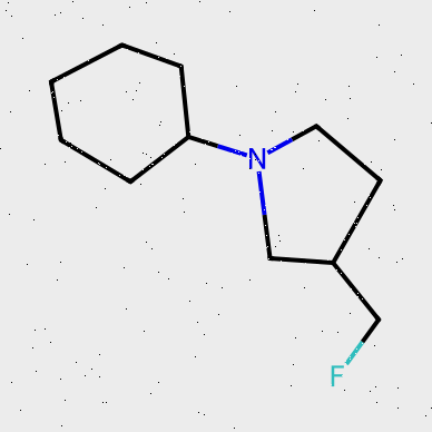 FCC1CCN(C2CCCCC2)C1